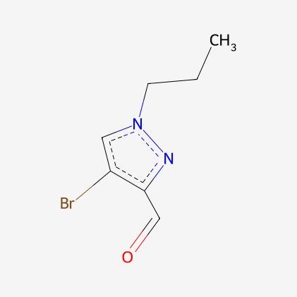 CCCn1cc(Br)c(C=O)n1